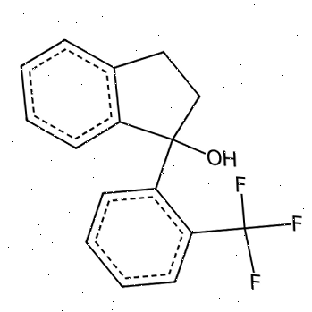 OC1(c2ccccc2C(F)(F)F)CCc2ccccc21